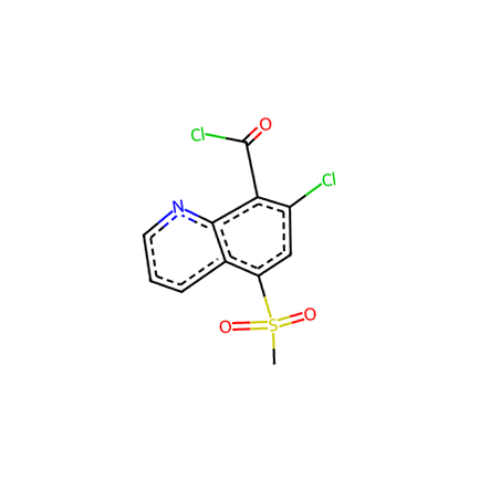 CS(=O)(=O)c1cc(Cl)c(C(=O)Cl)c2ncccc12